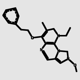 CCN1CC(C)=C(OCCc2ccccc2)C2=C1N1CN(OC)C=C1C=N2